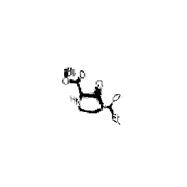 CCC([O])N1CCNC(C(=O)OC(C)(C)C)C1=O